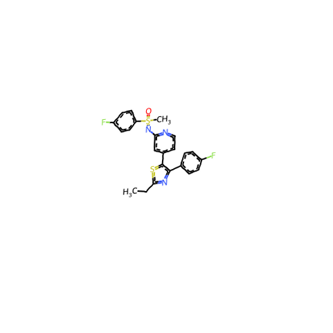 CCc1nc(-c2ccc(F)cc2)c(-c2ccnc(N=S(C)(=O)c3ccc(F)cc3)c2)s1